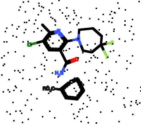 Cc1nc(N2CCCC(F)(F)CC2)c(C(N)=O)cc1Cl.O=C(O)c1ccccc1